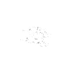 O=c1ccn([C@@H]2O[C@H](COP(=O)(O)O)[C@@H](O)[C@H]2O)c(=O)[nH]1.O=c1ccn([C@@H]2O[C@H](COP(=O)(O)O)[C@@H](O)[C@H]2O)c(=O)[nH]1